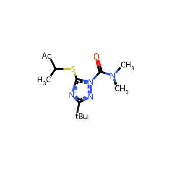 CC(=O)C(C)Sc1nc(C(C)(C)C)nn1C(=O)N(C)C